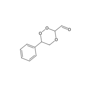 O=CC1OCC(c2ccccc2)OO1